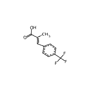 C/C(=C\c1ccc(C(F)(F)F)cc1)C(=O)O